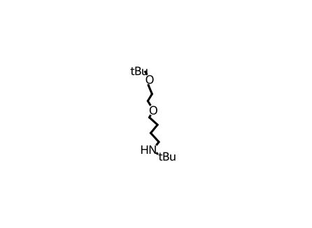 CC(C)(C)NCCCCOCCCOC(C)(C)C